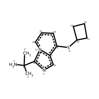 CC(C)(N)c1ncc2c(SC3CCC3)cccn12